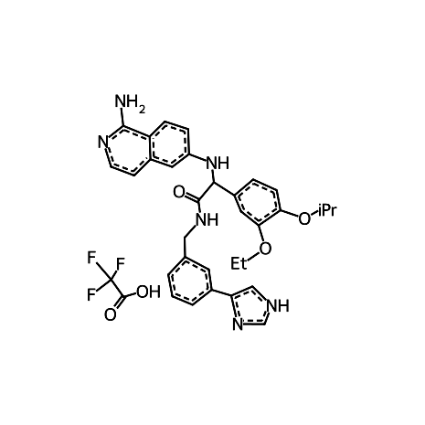 CCOc1cc(C(Nc2ccc3c(N)nccc3c2)C(=O)NCc2cccc(-c3c[nH]cn3)c2)ccc1OC(C)C.O=C(O)C(F)(F)F